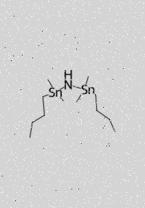 CCC[CH2][Sn]([CH3])([CH3])[NH][Sn]([CH3])([CH3])[CH2]CCC